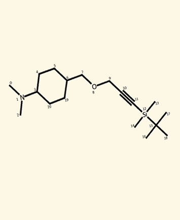 CN(C)C1CCC(COCC#C[Si](C)(C)C(C)(C)C)CC1